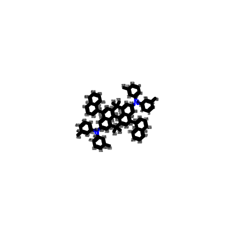 Cc1cccc(N(c2cccc(C)c2)c2cc3c4c5c(cc(-c6cccc7ccccc67)c4c2)C(C)(C)c2cc(N(c4cccc(C)c4)c4cccc(C)c4)cc4c(-c6cccc7ccccc67)cc(c-5c24)C3(C)C)c1